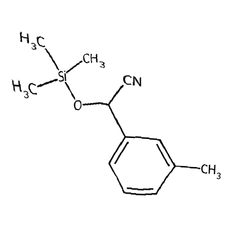 Cc1cccc(C(C#N)O[Si](C)(C)C)c1